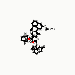 C#Cc1cccc2cc(OCOC)cc(-c3ncc4c(N5C[C@H]6CC[C@@H](C5)N6C(=O)OC(C)(C)C)nc(OCC56CC(=C)CN5CCC65CC5)nc4c3F)c12